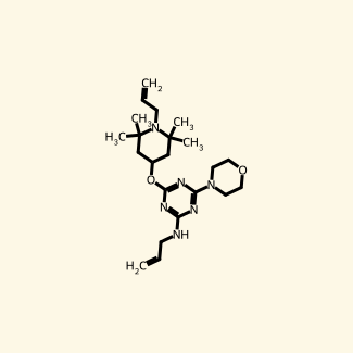 C=CCNc1nc(OC2CC(C)(C)N(CC=C)C(C)(C)C2)nc(N2CCOCC2)n1